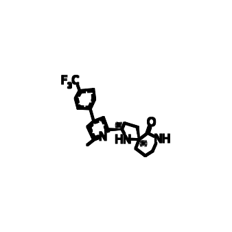 Cc1cc(-c2ccc(C(F)(F)F)cc2)cc([C@H]2CC[C@@]3(CCCNC3=O)N2)n1